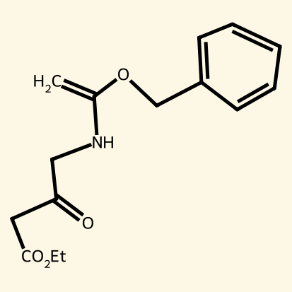 C=C(NCC(=O)CC(=O)OCC)OCc1ccccc1